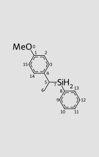 COc1ccc(C(C)[SiH2]c2ccccc2)cc1